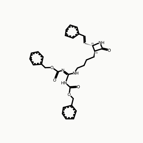 O=C(N=C(NCCCC[C@@H]1C(=O)N[C@H]1C=Cc1ccccc1)NC(=O)OCc1ccccc1)OCc1ccccc1